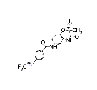 CC1(C)Oc2ccc(NC(=O)c3ccc(/C=C/C(F)(F)F)cc3)cc2NC1=O